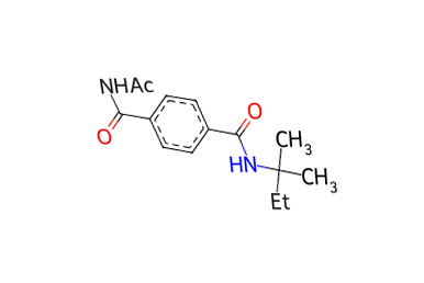 CCC(C)(C)NC(=O)c1ccc(C(=O)NC(C)=O)cc1